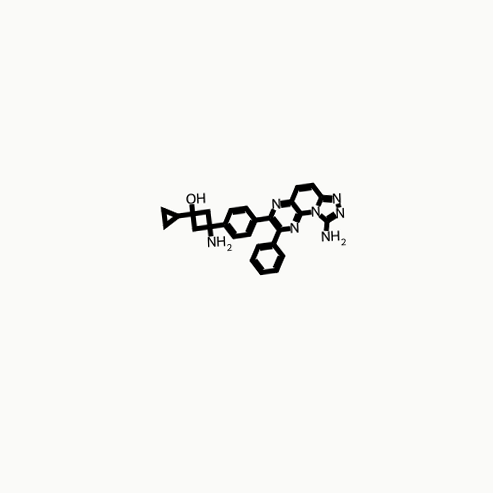 Nc1nnc2ccc3nc(-c4ccc(C5(N)CC(O)(C6CC6)C5)cc4)c(-c4ccccc4)nc3n12